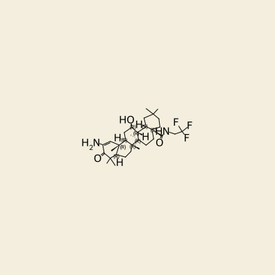 CC1(C)CC[C@]2(C(=O)NCC(F)(F)F)CC[C@]3(C)[C@H]([C@H](O)C[C@@H]4[C@@]5(C)C=C(N)C(=O)C(C)(C)[C@@H]5CC[C@]43C)[C@@H]2C1